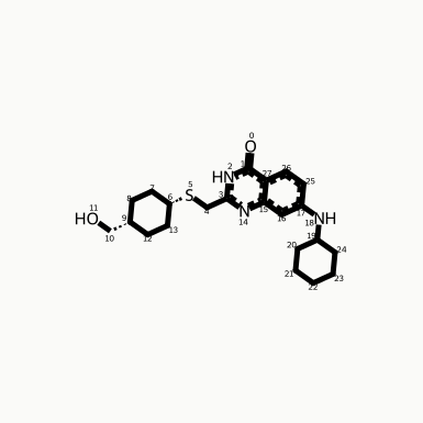 O=c1[nH]c(CS[C@H]2CC[C@@H](CO)CC2)nc2cc(NC3CCCCC3)ccc12